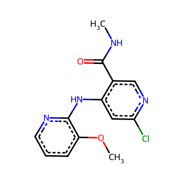 CNC(=O)c1cnc(Cl)cc1Nc1ncccc1OC